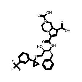 O=C(N[C@@H](Cc1ccccc1)[C@H](O)CNC1(c2cccc(C(F)(F)F)c2)CC1)C1=CC(C(=O)O)C2CN(C(=O)O)CCN12